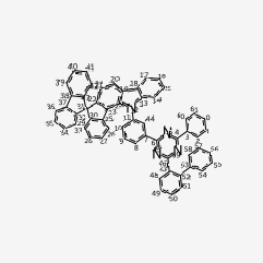 c1ccc(-c2nc(-c3cccc(-n4c5ccccc5c5ccc6c(c54)-c4ccccc4C64c5ccccc5-c5ccccc54)c3)nc(-c3ccccc3-c3ccccc3)n2)cc1